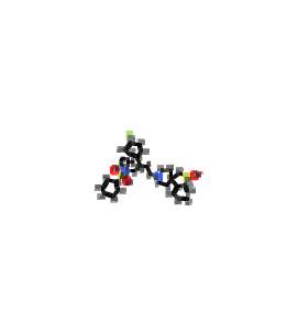 CN(C[C@@H](CCN1CCC2(CC1)C[S+]([O-])c1ccccc12)c1ccc(F)cc1)S(=O)(=O)c1ccccc1